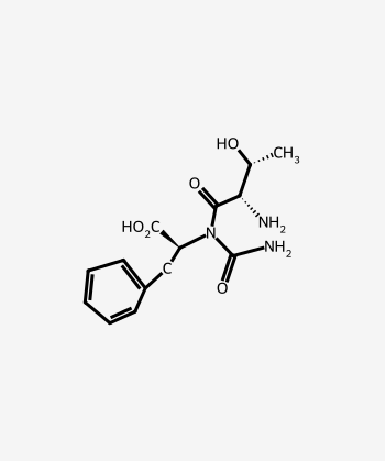 C[C@@H](O)[C@H](N)C(=O)N(C(N)=O)[C@@H](Cc1ccccc1)C(=O)O